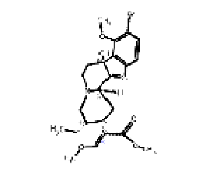 CC[C@@H]1CN2CC[C@@]3(O)C(=Nc4ccc(Br)c(OC)c43)[C@@H]2C[C@@H]1/C(=C\OC)C(=O)OC